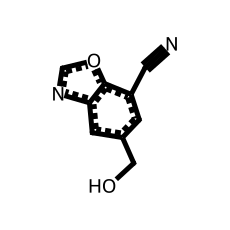 N#Cc1cc(CO)cc2ncoc12